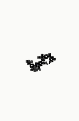 Nc1nc(N)c(/N=N/c2cc(S(=O)(=O)O)ccc2S(=O)(=O)O)cc1/N=N/c1cc(Nc2cc(F)nc(F)n2)ccc1S(=O)(=O)O